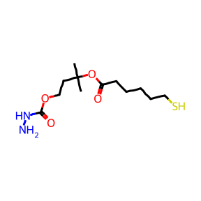 CC(C)(CCOC(=O)NN)OC(=O)CCCCCS